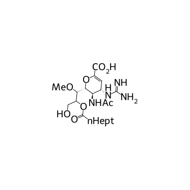 CCCCCCCC(=O)OC(CO)C(OC)[C@@H]1OC(C(=O)O)=C[C@H](NC(=N)N)[C@H]1NC(C)=O